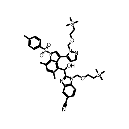 Cc1ccc(S(=O)(=O)n2cc(-c3ccnn3COCC[Si](C)(C)C)c3c(C(O)c4nc5cc(C#N)ccc5n4COCC[Si](C)(C)C)c(C)cc(C)c32)cc1